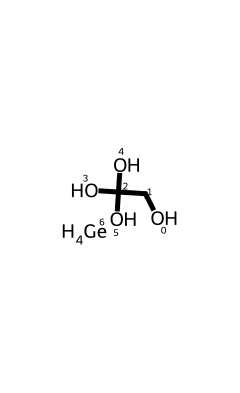 O[CH]C(O)(O)O.[GeH4]